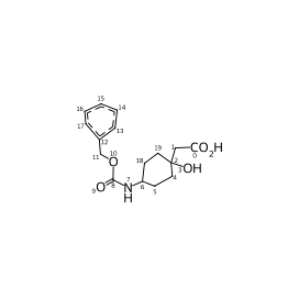 O=C(O)CC1(O)CCC(NC(=O)OCc2ccccc2)CC1